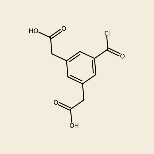 O=C(O)Cc1cc(CC(=O)O)cc(C(=O)Cl)c1